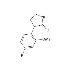 COc1cc(F)ccc1C1CCNC1=O